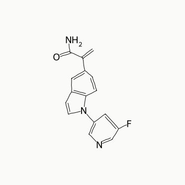 C=C(C(N)=O)c1ccc2c(ccn2-c2cncc(F)c2)c1